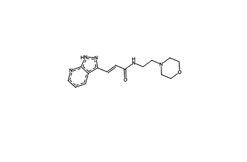 O=C(C=Cc1n[nH]c2ncccc12)NCCN1CCOCC1